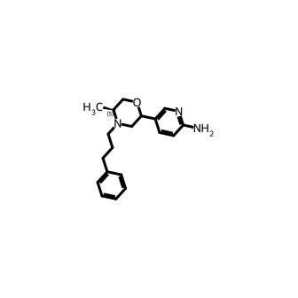 C[C@H]1COC(c2ccc(N)nc2)CN1CCCc1ccccc1